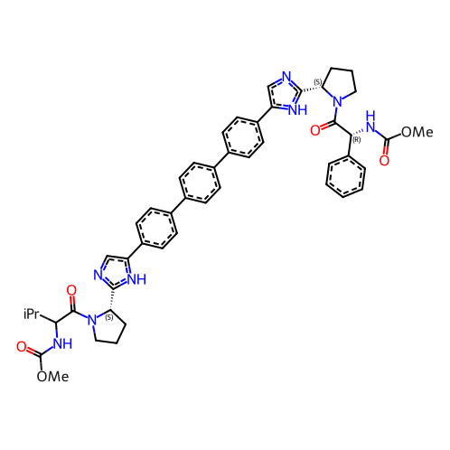 COC(=O)NC(C(=O)N1CCC[C@H]1c1ncc(-c2ccc(-c3ccc(-c4ccc(-c5cnc([C@@H]6CCCN6C(=O)[C@H](NC(=O)OC)c6ccccc6)[nH]5)cc4)cc3)cc2)[nH]1)C(C)C